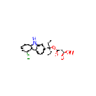 CCC(CC)(OC(=O)CC(=O)O)c1ccc2c(c1)[nH]c1cccc(Cl)c12